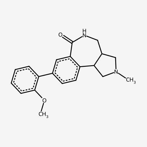 COc1ccccc1-c1ccc2c(c1)C(=O)NCC1CN(C)CC21